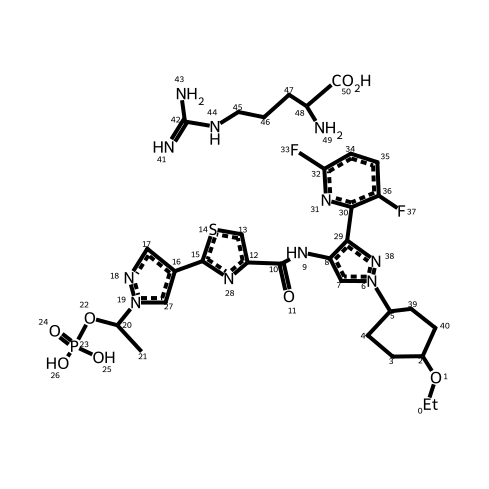 CCOC1CCC(n2cc(NC(=O)c3csc(-c4cnn(C(C)OP(=O)(O)O)c4)n3)c(-c3nc(F)ccc3F)n2)CC1.N=C(N)NCCCC(N)C(=O)O